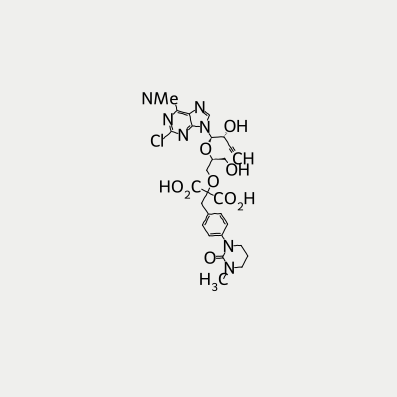 C#C[C@@H](O)[C@@H](O[C@@H](CO)COC(Cc1ccc(N2CCCN(C)C2=O)cc1)(C(=O)O)C(=O)O)n1cnc2c(NC)nc(Cl)nc21